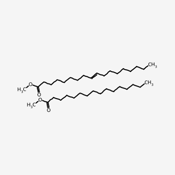 CCCCCCCCC=CCCCCCCCC(=O)OC.CCCCCCCCCCCCCCCC(=O)OC